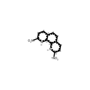 O=[N+]([O-])c1ccc2ccc3ccc([N+](=O)[O-])nc3c2n1